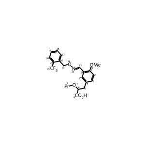 COc1ccc(CC(OC(C)C)C(=O)O)cc1C=NOCc1ccccc1C(F)(F)F